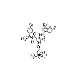 C[C@@H](NC(=O)c1cn(COCC[Si](C)(C)C)c2ncc(-c3nn(C)c4cc(F)ccc34)nc12)c1ccc(Br)cc1